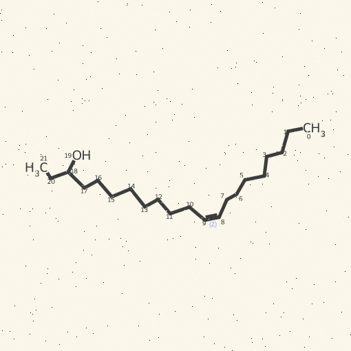 CCCCCCCC/C=C\CCCCCCCCC(O)CC